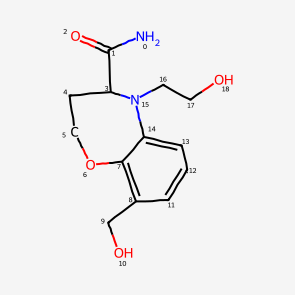 NC(=O)C1CCOc2c(CO)c[c]cc2N1CCO